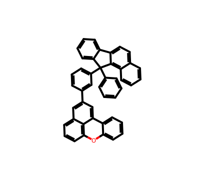 c1ccc(C2(c3cccc(-c4cc5c6c(cccc6c4)Oc4ccccc4-5)c3)c3ccccc3-c3ccc4ccccc4c32)cc1